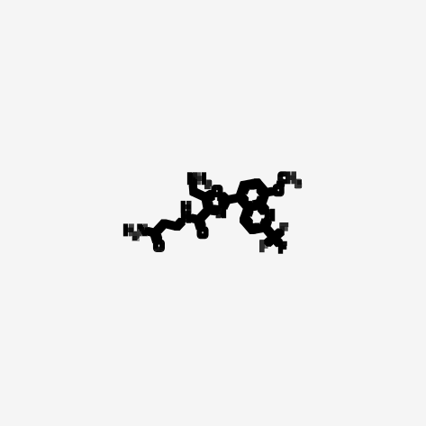 COc1ccc(-c2nc(C(=O)NCCC(N)=O)c(CN)o2)c2ccc(C(F)(F)F)nc12